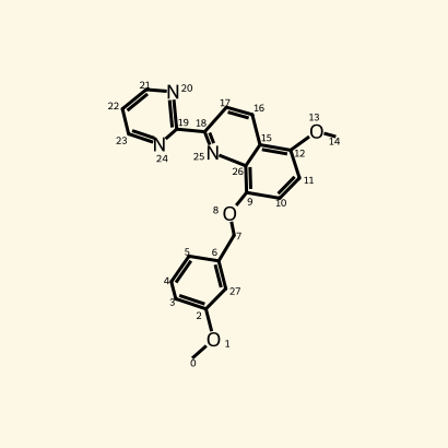 COc1cccc(COc2ccc(OC)c3ccc(-c4ncccn4)nc23)c1